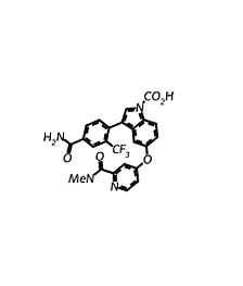 CNC(=O)c1cc(Oc2ccc3c(c2)c(-c2ccc(C(N)=O)cc2C(F)(F)F)cn3C(=O)O)ccn1